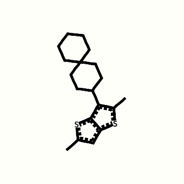 Cc1cc2sc(C)c(C3CCC4(CCCCC4)CC3)c2s1